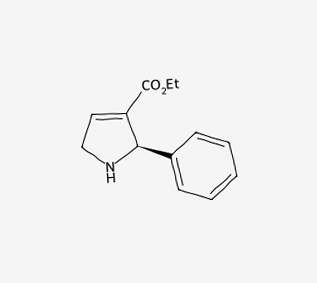 CCOC(=O)C1=CCN[C@@H]1c1ccccc1